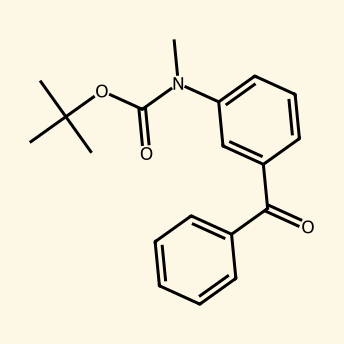 CN(C(=O)OC(C)(C)C)c1cccc(C(=O)c2ccccc2)c1